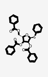 O=C(OC[C@@H]1O[C@@H](Sc2ccccc2)[C@@H](OC(=O)c2ccccc2)C1OC(=O)c1ccccc1)c1ccccc1